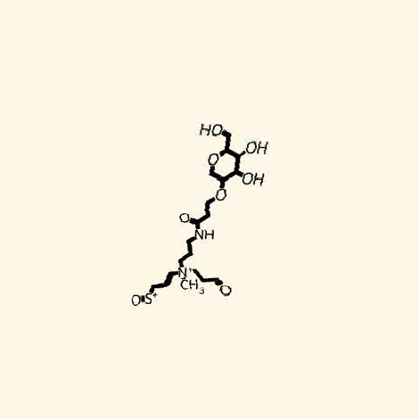 C[N+](C=CC[S+]=O)(CCC=O)CCCNC(=O)CCOC1COC(CO)[C@@H](O)C1O